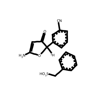 O=S(=O)(O)Cc1ccccc1.[2H]C1(c2cccc(C#N)c2)OC(N)=CC1=O